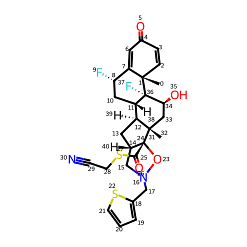 C[C@]12C=CC(=O)C=C1[C@@H](F)C[C@H]1[C@@H]3C[C@H]4CN(Cc5cccs5)O[C@@]4(C(=O)SCC#N)[C@@]3(C)C[C@H](O)[C@@]12F